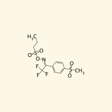 CCCS(=O)(=O)O/N=C(/c1ccc(S(C)(=O)=O)cc1)C(F)(F)F